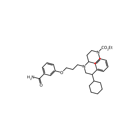 CCOC(=O)N1CCC(N(CCCOc2cccc(C(N)=O)c2)CC(c2ccccc2)C2CCCCC2)CC1